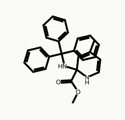 COC(=O)C1(NC(c2ccccc2)(c2ccccc2)c2ccccc2)C=C(C)C=CN1